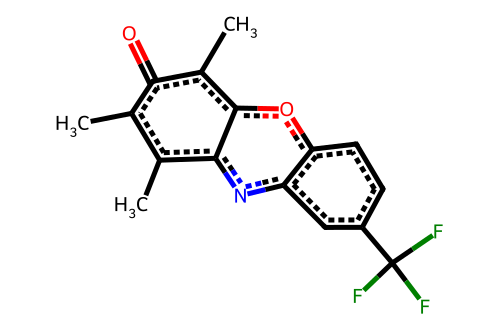 Cc1c2nc3cc(C(F)(F)F)ccc3oc-2c(C)c(=O)c1C